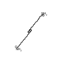 NC(=O)CCCCCCCCCCCCCCCCCc1ccc2cc(CCCCCCCCCCCCCCCCCC(N)=O)ccc2c1